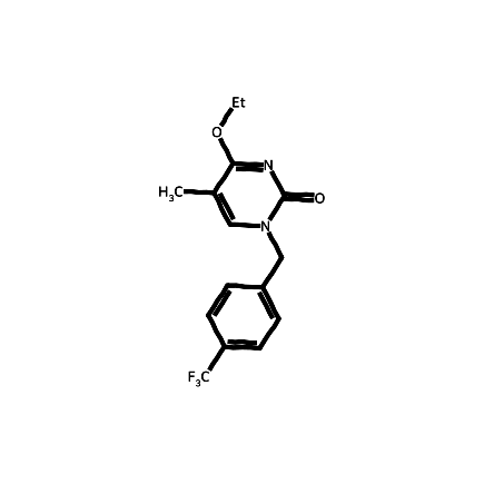 CCOc1nc(=O)n(Cc2ccc(C(F)(F)F)cc2)cc1C